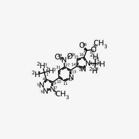 [2H]C([2H])([2H])c1nnn(C)c1-c1cnc(-c2cc(C(=O)OC)n(C([2H])([2H])[2H])n2)c([N+](=O)[O-])c1